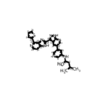 CC(C)CC(O)Nc1cncc(-c2cnc3[nH]nc(-c4nc5c(-c6cccs6)nccc5[nH]4)c3c2)c1